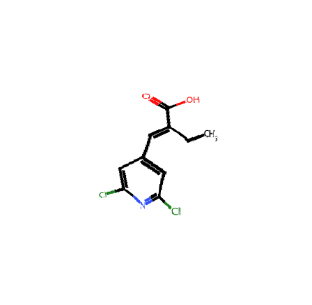 CC/C(=C\c1cc(Cl)nc(Cl)c1)C(=O)O